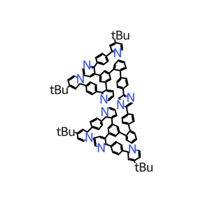 CC(C)(C)c1ccnc(-c2ccc(-c3ncccc3-c3cc(-c4ccccc4-c4ccc(-c5cnc(-c6ccc(-c7ccccc7-c7cc(-c8cccnc8-c8ccc(-c9cc(C(C)(C)C)ccn9)cc8)cc(-c8cccnc8-c8ccc(-c9cc(C(C)(C)C)ccn9)cc8)c7)cc6)cn5)cc4)cc(-c4cccnc4-c4ccc(-c5cc(C(C)(C)C)ccn5)cc4)c3)cc2)c1